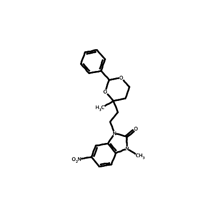 Cn1c(=O)n(CCC2(C)CCOC(c3ccccc3)O2)c2cc([N+](=O)[O-])ccc21